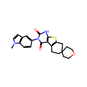 Cn1ccc2cc(-n3c(=O)[nH]c4sc5c(c4c3=O)CCC3(CCOCC3)C5)ccc21